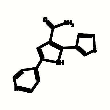 NC(=O)c1cc(-c2ccncc2)[nH]c1-c1ccsc1